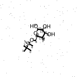 CC(C)(C)[Si](C)(C)OC[C@H]1OC(O)[C@@H](O)[C@@H](O)[C@@H]1F